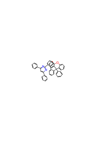 c1ccc(-c2cc(-c3ccccc3)nc(-c3ccccc3-c3ccccc3C3(c4ccccc4)c4ccccc4Oc4ccccc43)n2)cc1